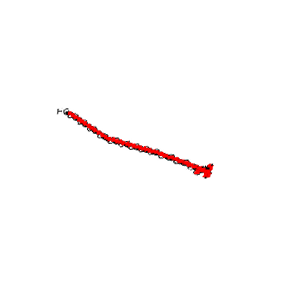 O=C(NCCOCCOCCOCCOCCOCCOCCOCCOCCOCCOCCOCCOCCOCCOCCOCCOCCOCCOCCOCCOCCOCCOCCOCCO)OCC1c2ccccc2-c2ccccc21